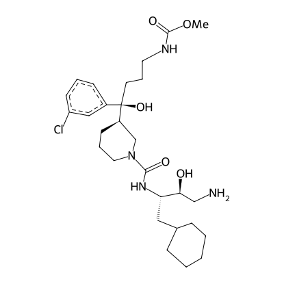 COC(=O)NCCC[C@@](O)(c1cccc(Cl)c1)[C@@H]1CCCN(C(=O)N[C@@H](CC2CCCCC2)[C@@H](O)CN)C1